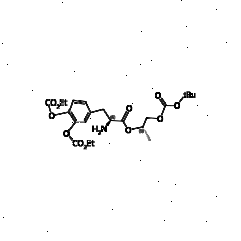 CCOC(=O)Oc1ccc(C[C@H](N)C(=O)O[C@@H](C)COC(=O)OC(C)(C)C)cc1OC(=O)OCC